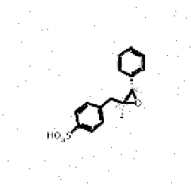 C[C@@]1(Cc2ccc(S(=O)(=O)O)cc2)O[C@H]1c1ccccc1